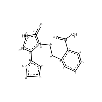 O=C(O)c1ccccc1CCn1c(-c2cccs2)n[nH]c1=S